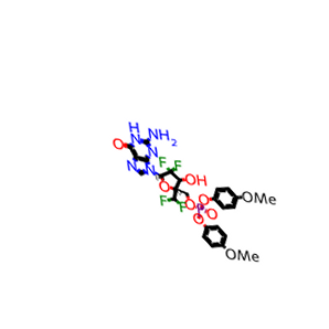 COc1ccc(OP(=O)(OC[C@@]2(C(F)F)O[C@@H](n3cnc4c(=O)[nH]c(N)nc43)C(F)(F)C2O)Oc2ccc(OC)cc2)cc1